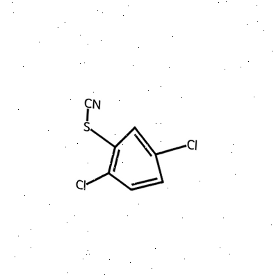 N#CSc1cc(Cl)ccc1Cl